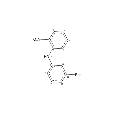 O=[N+]([O-])c1ccccc1Nc1cccc(F)c1